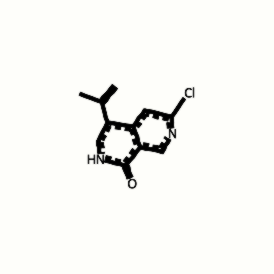 C=C(C)c1c[nH]c(=O)c2cnc(Cl)cc12